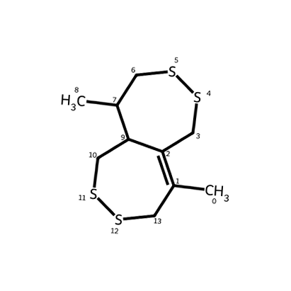 CC1=C2CSSCC(C)C2CSSC1